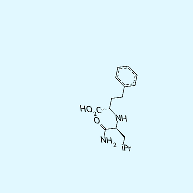 CC(C)C[C@H](N[C@@H](CCc1ccccc1)C(=O)O)C(N)=O